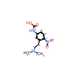 CN(C)CCc1cc(NC(=O)O)ccc1[N+](=O)[O-]